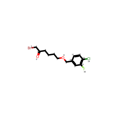 O=C(CBr)CCCCOCc1ccc(Cl)c(F)c1